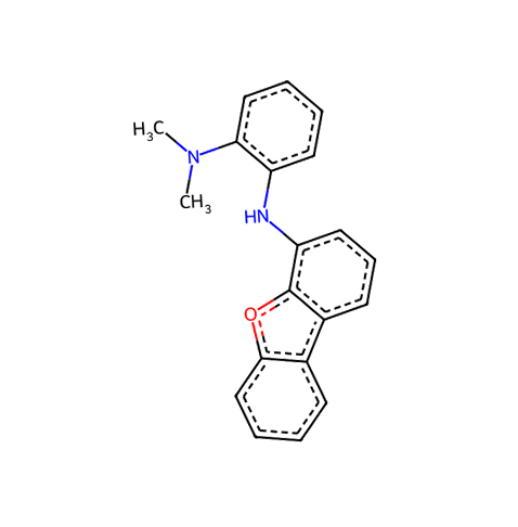 CN(C)c1ccccc1Nc1cccc2c1oc1ccccc12